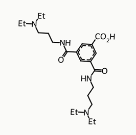 CCN(CC)CCCNC(=O)c1cc(C(=O)O)cc(C(=O)NCCCN(CC)CC)c1